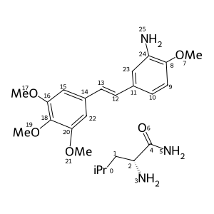 CC(C)C[C@@H](N)C(N)=O.COc1ccc(C=Cc2cc(OC)c(OC)c(OC)c2)cc1N